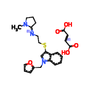 CN1CCC/C1=N\CCSc1cn(Cc2ccco2)c2ccccc12.O=C(O)/C=C/C(=O)O